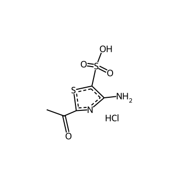 CC(=O)c1nc(N)c(S(=O)(=O)O)s1.Cl